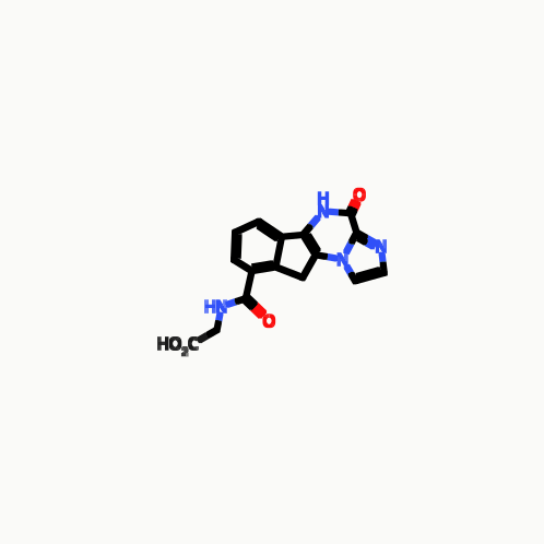 O=C(O)CNC(=O)c1cccc2c1Cc1c-2[nH]c(=O)c2nccn12